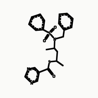 CC(CC(C)N(Cc1ccccc1)S(=O)(=O)c1ccccc1)SC(=O)c1cncnc1